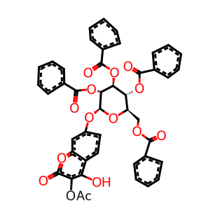 CC(=O)Oc1c(O)c2ccc(O[C@@H]3O[C@H](COC(=O)c4ccccc4)[C@@H](OC(=O)c4ccccc4)[C@H](OC(=O)c4ccccc4)[C@H]3OC(=O)c3ccccc3)cc2oc1=O